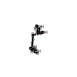 CN(CCOCCOCCNc1cccc2c1C(=O)N([C@H]1CCC(=O)NC1=O)C2=O)C(=O)CCNc1nc(N2CCNCC2)c2cc(Cl)c(-c3c(O)cccc3F)c(F)c2n1